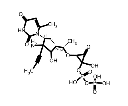 CC#CC1(N)C(O)[C@@H]([C@H](C)OC2C(=O)C2(O)OP(=O)(O)OP(=O)(O)O)C[C@H]1n1c(C)cc(=O)[nH]c1=O